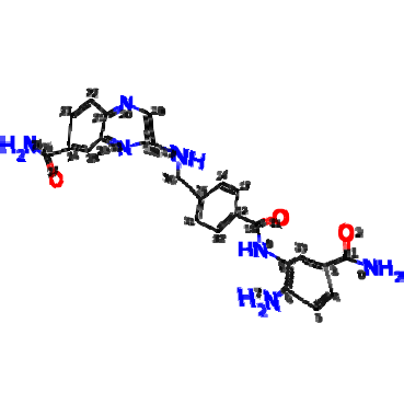 NC(=O)c1ccc(N)c(NC(=O)c2ccc(CNc3cnc4ccc(C(N)=O)cc4n3)cc2)c1